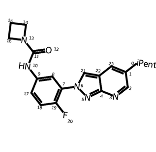 CCCC(C)c1cnc2nn(-c3cc(NC(=O)N4CCC4)ccc3F)cc2c1